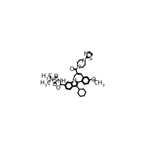 COc1ccc2c(c1)C=C(C(=O)N1CCN(c3nccs3)CC1)Cn1c-2c(C2CCCCC2)c2ccc(C(=O)NS(=O)(=O)N(C)C)cc21